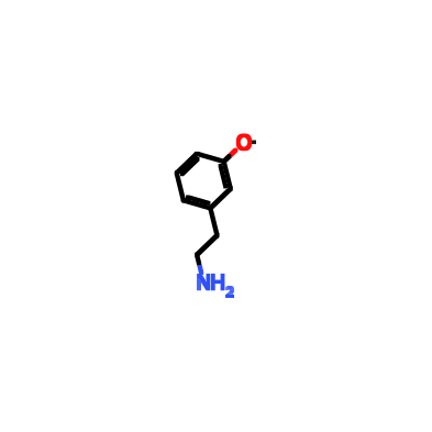 NCCc1cccc([O])c1